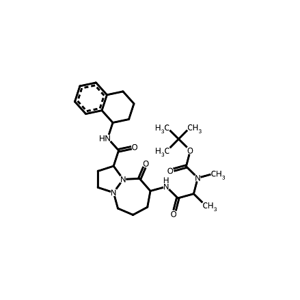 CC(C(=O)NC1CCCN2CCC(C(=O)NC3CCCc4ccccc43)N2C1=O)N(C)C(=O)OC(C)(C)C